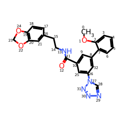 COc1ccccc1-c1cc(C(=O)NCCc2ccc3c(c2)OCO3)cc(-n2cnnn2)c1